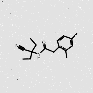 CCC(C#N)(CC)NC(=O)Cc1ccc(C)cc1C